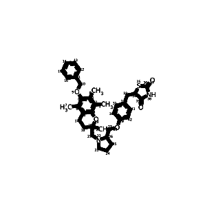 Cc1c(C)c2c(c(C)c1OCc1ccccc1)CCC(C)(CN1CCCC1COc1ccc(CC3SC(=O)NC3=O)cc1)O2